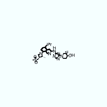 CC(C)c1ccc(N2C[C@H](CS(C)(=O)=O)[C@H]2C)c2cnc(Nc3ncnc(N4CC[C@H](O)[C@@](C)(F)C4)n3)cc12